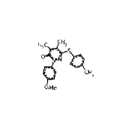 COc1ccc(-n2nc(Sc3ccc(C)cc3)c(C)c(C)c2=O)cc1